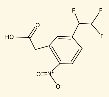 O=C(O)Cc1cc(C(F)C(F)F)ccc1[N+](=O)[O-]